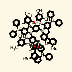 Cc1cc(C)c(N2c3cc4c(cc3B3c5ccc6oc7c(C(C)(C)C)cccc7c6c5Cc5cc(N(c6ccccc6)c6ccccc6)cc2c53)B2c3cc5c(cc3N(c3c(C)cc(C)cc3C)c3cc(N(c6ccccc6)c6ccccc6)cc(c32)N4c2c(C)cc(C)cc2C)Nc2cc(N(c3ccccc3)c3ccccc3)cc3c2B5c2ccc4oc5c(C(C)(C)C)cccc5c4c2C3)c(C)c1